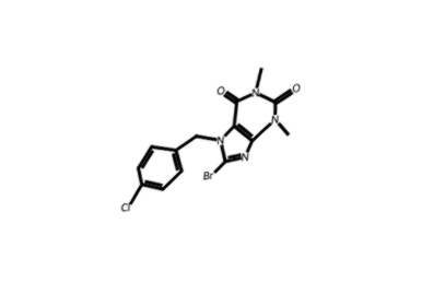 Cn1c(=O)c2c(nc(Br)n2Cc2ccc(Cl)cc2)n(C)c1=O